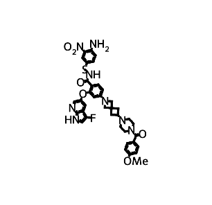 COc1ccc(C(=O)N2CCN(C3CC4(C3)CN(c3ccc(C(=O)NSc5ccc(N)c([N+](=O)[O-])c5)c(Oc5cnc6[nH]cc(F)c6c5)c3)C4)CC2)cc1